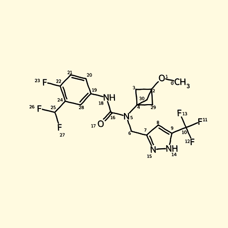 COC12CC(N(Cc3cc(C(F)(F)F)[nH]n3)C(=O)Nc3ccc(F)c(C(F)F)c3)(C1)C2